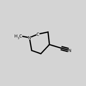 CN1CC[C](C#N)CC1